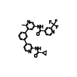 Cc1ncc(NC(=O)c2ccnc(C(F)(F)F)c2)cc1-c1cccc(-c2ccnc(NC(=O)C3CC3)c2)c1